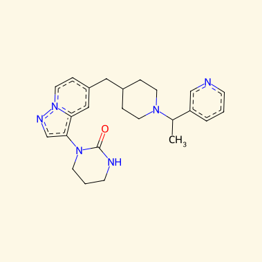 CC(c1cccnc1)N1CCC(Cc2ccn3ncc(N4CCCNC4=O)c3c2)CC1